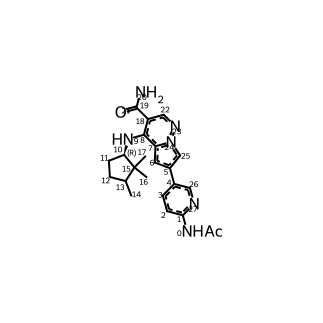 CC(=O)Nc1ccc(-c2cc3c(N[C@@H]4CCC(C)C4(C)C)c(C(N)=O)cnn3c2)cn1